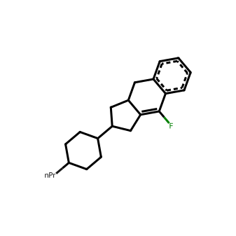 CCCC1CCC(C2CC3=C(F)c4ccccc4CC3C2)CC1